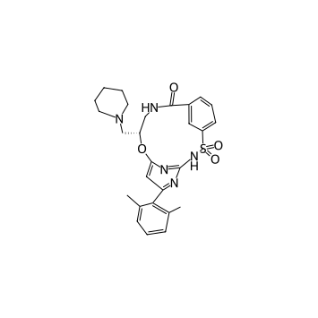 Cc1cccc(C)c1-c1cc2nc(n1)NS(=O)(=O)c1cccc(c1)C(=O)NC[C@@H](CN1CCCCC1)O2